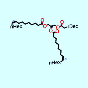 CCCCCC/C=C\CCCCCCCC(=O)OC[C@@H](COC(=O)CCCCCCCCCCC)OC(=O)CCCCCCC/C=C\CCCCCC